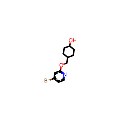 OC1CCC(COc2cc(Br)ccn2)CC1